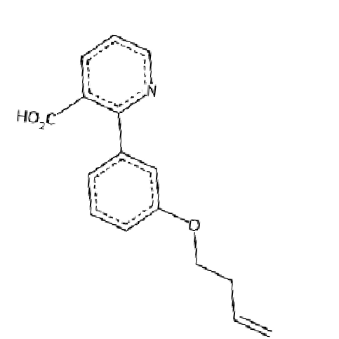 C=CCCOc1cccc(-c2ncccc2C(=O)O)c1